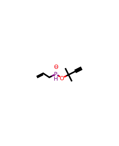 C#CC(C)(C)O[PH](=O)CC=C